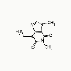 Cn1c(=O)c2c(ncn2C)n(CN)c1=O